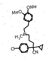 COc1ccc(CCN(C)CCCC(C#N)(c2ccc(Cl)cc2)C2CC2)cc1OC